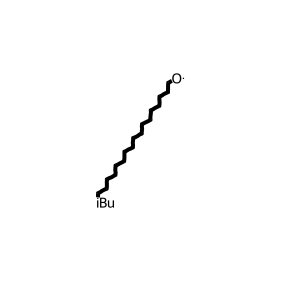 CCC(C)CCCCCCCCCCCCCCCCC[O]